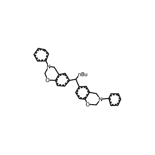 CCCCC(c1ccc2c(c1)CN(c1ccccc1)CO2)c1ccc2c(c1)CN(c1ccccc1)CO2